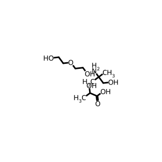 CC(C)(N)CO.CC(O)C(=O)O.OCCOCCO